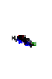 C[C@H](N)C(=O)N[C@@H](C)C(=O)NCC[C@H](CSc1ccccc1)Nc1ccc(S(=O)(=O)Nc2ncnc3cc(N4CCN(Cc5ccccc5-c5ccc(Cl)cc5)CC4)ccc23)cc1[N+](=O)[O-]